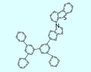 c1ccc(-c2cc(-c3ccccc3)cc(-c3cc(-c4ccccc4)cc(-c4ccc5c(ccn5-c5cccc6c5sc5ccccc56)c4)c3)c2)cc1